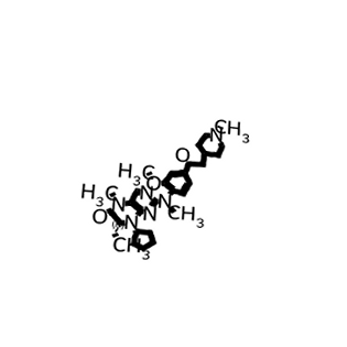 CC[C@@H]1C(=O)N(C)c2cnc(N(C)c3ccc(C(=O)CC4CCN(C)CC4)cc3OC)nc2N1C1CCCC1